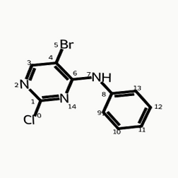 Clc1ncc(Br)c(Nc2[c]cccc2)n1